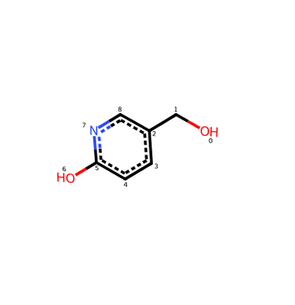 OCc1ccc(O)nc1